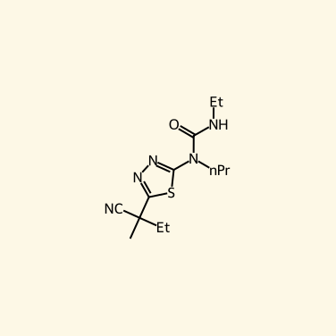 CCCN(C(=O)NCC)c1nnc(C(C)(C#N)CC)s1